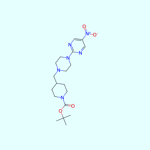 CC(C)(C)OC(=O)N1CCC(CN2CCN(c3ncc([N+](=O)[O-])cn3)CC2)CC1